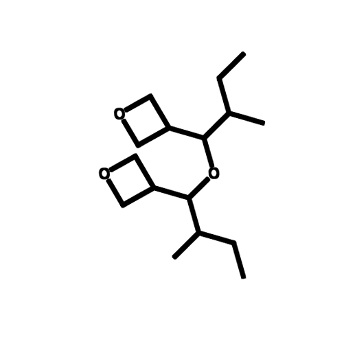 CCC(C)C(OC(C(C)CC)C1COC1)C1COC1